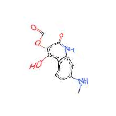 CNc1ccc2c(O)c(OC=O)c(=O)[nH]c2c1